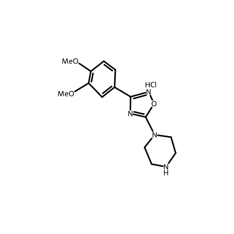 COc1ccc(-c2noc(N3CCNCC3)n2)cc1OC.Cl